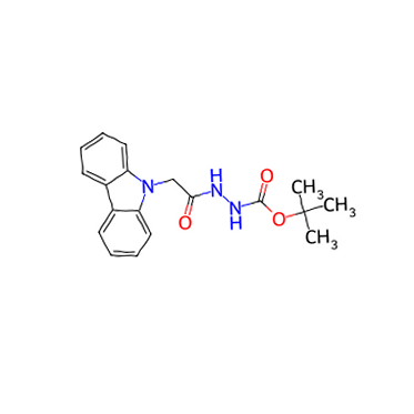 CC(C)(C)OC(=O)NNC(=O)Cn1c2ccccc2c2ccccc21